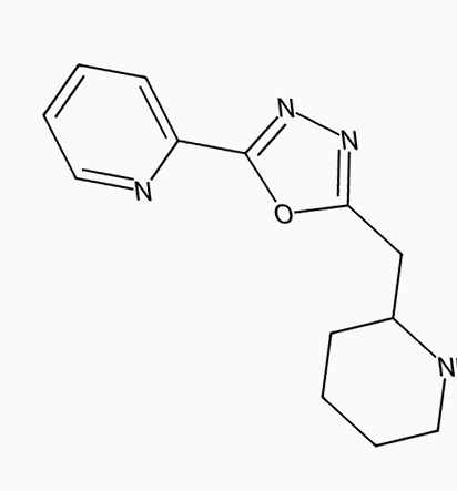 c1ccc(-c2nnc(CC3CCCCN3)o2)nc1